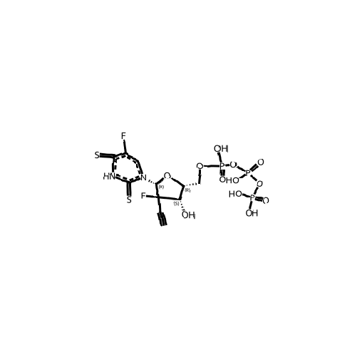 C#CC1(F)[C@@H](O)[C@@H](COP(=O)(O)OP(=O)(O)OP(=O)(O)O)O[C@H]1n1cc(F)c(=S)[nH]c1=S